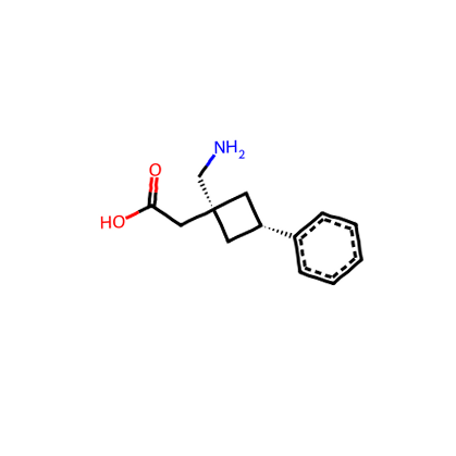 NC[C@]1(CC(=O)O)C[C@H](c2ccccc2)C1